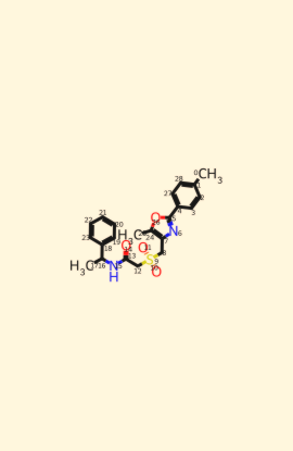 Cc1ccc(-c2nc(CS(=O)(=O)CC(=O)NC(C)c3ccccc3)c(C)o2)cc1